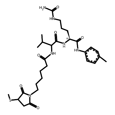 CSC1CC(=O)N(CCCCCC(=O)NC(C(=O)N[C@@H](CCCNC(N)=O)C(=O)Nc2ccc(C)cc2)C(C)C)C1=O